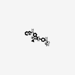 CC(C)OC(=O)NC1CCC(c2ncc(-c3ccc(Nc4cc5ccccn5n4)cc3S(=O)(=O)C3CC3)s2)CC1